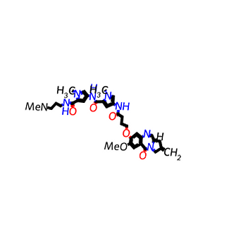 C=C1C[C@H]2C=Nc3cc(OCCCC(=O)Nc4cc(C(=O)Nc5cc(C(=O)NCCCNC)n(C)c5)n(C)c4)c(OC)cc3C(=O)N2C1